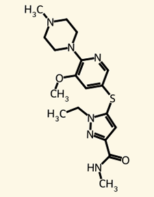 CCn1nc(C(=O)NC)cc1Sc1cnc(N2CCN(C)CC2)c(OC)c1